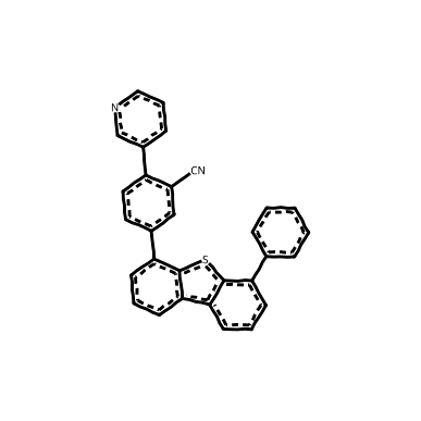 N#Cc1cc(-c2cccc3c2sc2c(-c4ccccc4)cccc23)ccc1-c1cccnc1